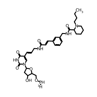 [3H]POCC1OC(n2cc(/C=C/CNC(=O)/C=C/c3cccc(CNC(=O)C4CCCCN4CCCC)c3)c(=O)[nH]c2=O)CC1O